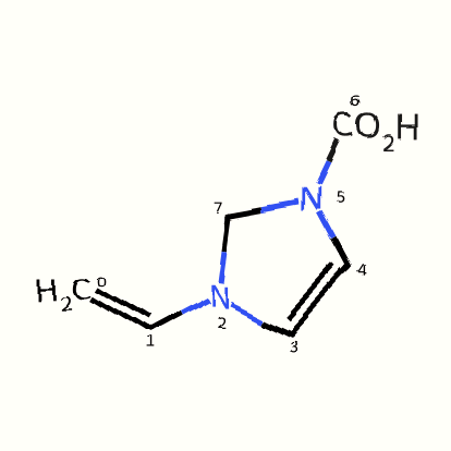 C=CN1C=CN(C(=O)O)C1